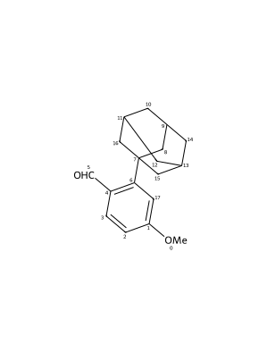 COc1ccc(C=O)c(C23CC4CC(CC(C4)C2)C3)c1